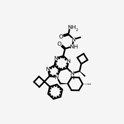 C[C@@H](Nc1nc(C(=O)NN(C)C(N)=O)nc2nc(C3(c4ccccc4)CCC3)n(C[C@H]3CC[C@H](C)CC3)c12)C1CCC1